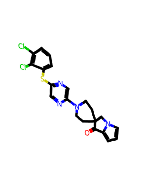 O=C1c2cccn2CC12CCN(c1cnc(Sc3cccc(Cl)c3Cl)cn1)CC2